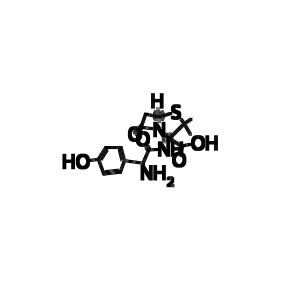 CC1(C)S[C@@H]2CC(=O)N2[C@@]1(NC(=O)C(N)c1ccc(O)cc1)C(=O)O